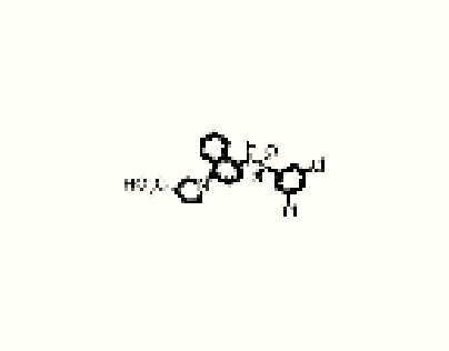 O=C(O)[C@H]1CCN(c2ccc(NS(=O)(=O)c3cc(Cl)cc(Cl)c3)c3ccccc23)C1